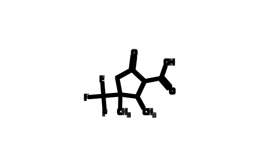 CC1C(C(=O)O)C(=O)CC1(C)C(F)(F)F